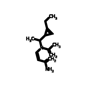 C=C(N)/C=C\N(C(=C)C)C(C)C1C=C1CC